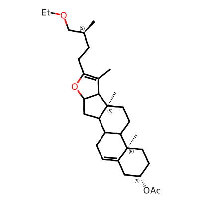 CCOC[C@@H](C)CCC1=C(C)C2C(CC3C4CC=C5C[C@@H](OC(C)=O)CC[C@]5(C)C4CC[C@@]32C)O1